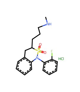 CNCCCC1Cc2ccccc2N(c2ccccc2F)S1(=O)=O.Cl